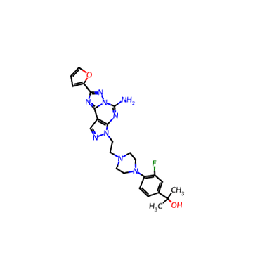 CC(C)(O)c1ccc(N2CCN(CCn3ncc4c3nc(N)n3nc(-c5ccco5)nc43)CC2)c(F)c1